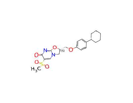 CS(=O)(=O)c1cn2c(nc1=O)O[C@H](COc1ccc(C3CCCCC3)cc1)C2